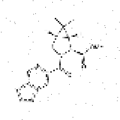 COC(=O)[C@@H]1[C@@H]2[C@H](CN1C(=O)c1cn3cccc3cn1)C2(C)C